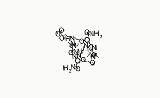 CCn1nc(C)cc1C(=O)Nc1nc2cc(C(N)=O)cc(OCCCOC)c2n1C/C=C/Cn1c2nc(-c3cc(C)nn3CC)ncc2c2cc(C(N)=O)cc(OCCCNCCCC(=O)C(=O)OC)c21